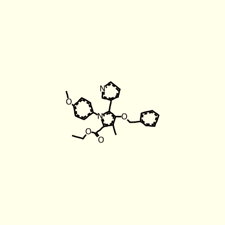 CCOC(=O)c1c(C)c(OCc2ccccc2)c(-c2cccnc2)n1-c1ccc(OC)cc1